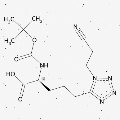 CC(C)(C)OC(=O)N[C@@H](CCCc1nnnn1CCC#N)C(=O)O